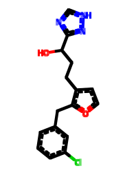 OC(CCc1ccoc1Cc1cccc(Cl)c1)c1nc[nH]n1